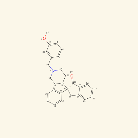 COc1cccc(CN2CCC(C3(c4ccccc4)Cc4ccccc4C3=O)CC2)c1